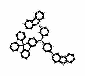 c1ccc(C2(c3ccccc3)c3ccccc3-c3cc(N(c4ccc(-c5ccc6oc7ccccc7c6c5)cc4)c4cccc(-n5c6ccccc6c6ccccc65)c4)ccc32)cc1